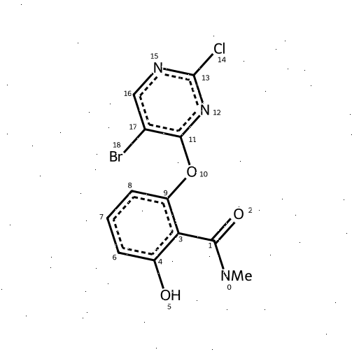 CNC(=O)c1c(O)cccc1Oc1nc(Cl)ncc1Br